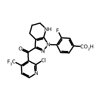 O=C(O)c1ccc(-n2nc(C(=O)c3c(C(F)(F)F)ccnc3Cl)c3c2NCCC3)c(F)c1